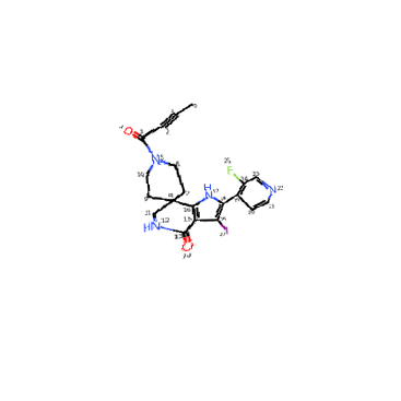 CC#CC(=O)N1CCC2(CC1)CNC(=O)c1c2[nH]c(-c2ccncc2F)c1I